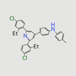 CCc1cc(Cl)ccc1-c1cc(-c2ccc(Nc3ccc(C)cc3)cc2)cc(-c2ccc(Cl)cc2CC)n1